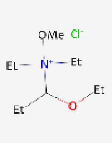 CCOC(CC)[N+](CC)(CC)OC.[Cl-]